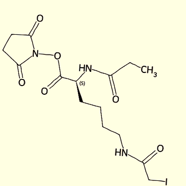 CCC(=O)N[C@@H](CCCCNC(=O)CI)C(=O)ON1C(=O)CCC1=O